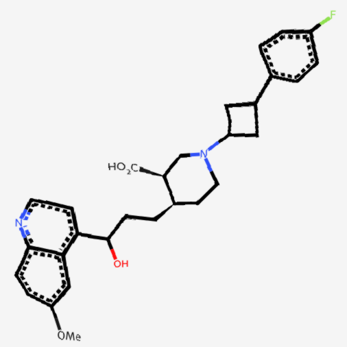 COc1ccc2nccc(C(O)CC[C@@H]3CCN(C4CC(c5ccc(F)cc5)C4)C[C@@H]3C(=O)O)c2c1